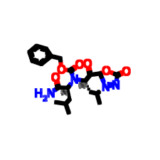 CC(C)C[C@@H](C(N)=O)N(C(=O)OCc1ccccc1)[C@@H](CC(C)C)C(=O)C1N=NC(=O)O1